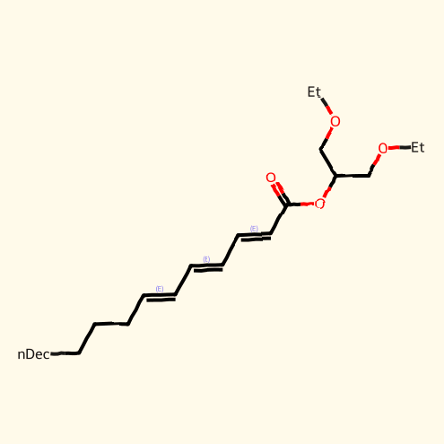 CCCCCCCCCCCCC/C=C/C=C/C=C/C(=O)OC(COCC)COCC